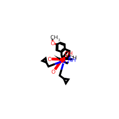 COc1ccc2c(c1)[C@]13CCN[C@H](C2)[C@]1(O)CCCN(CC1CC1)C(=O)N(CC1CC1)C(=O)C3